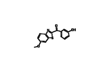 COc1ccc2nc(C(=O)c3cccc(O)c3)sc2c1